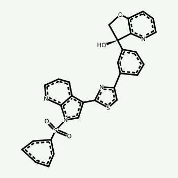 O=S(=O)(c1ccccc1)n1cc(-c2nc(-c3cccc([C@]4(O)COc5cccnc54)c3)cs2)c2cccnc21